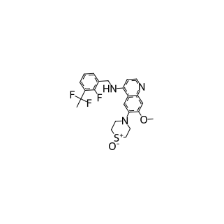 COc1cc2nccc(NCc3cccc(C(C)(F)F)c3F)c2cc1N1CC[S+]([O-])CC1